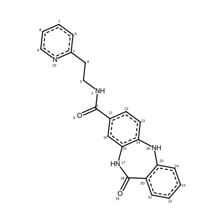 O=C(NCCc1ccccn1)c1ccc2c(c1)NC(=O)c1ccccc1N2